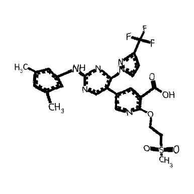 Cc1cc(C)cc(Nc2ncc(-c3cnc(OCCS(C)(=O)=O)c(C(=O)O)c3)c(-n3ccc(C(F)(F)F)n3)n2)c1